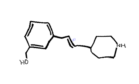 Oc1cccc(/C=C/C2CCNCC2)c1